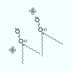 CCCCCCCCCCCCN(CCCCCCCCCCCC)c1ccc(/C=C/c2cc[n+](C)cc2)cc1Cl.CCCCCCCCCCN(CCCCCCCCCC)c1ccc(/C=C/c2cc[n+](C)cc2)cc1Cl.COS(=O)(=O)[O-].COS(=O)(=O)[O-]